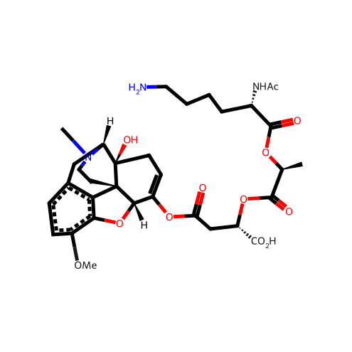 COc1ccc2c3c1O[C@H]1C(OC(=O)C[C@H](OC(=O)[C@H](C)OC(=O)[C@H](CCCCN)NC(C)=O)C(=O)O)=CC[C@@]4(O)[C@@H](C2)N(C)CC[C@]314